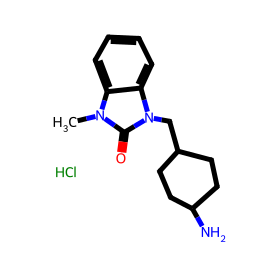 Cl.Cn1c(=O)n(CC2CCC(N)CC2)c2ccccc21